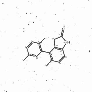 Cc1ccc(C)c(-c2c(C)ccc3c2CC(=O)N3)c1